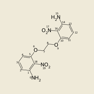 Nc1cccc(OCCOc2cccc(N)c2[N+](=O)[O-])c1[N+](=O)[O-]